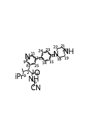 CC(C)CC(C(=O)NCC#N)c1cncc(-c2ccc(N3CCNCC3)cc2)c1